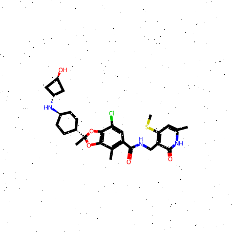 CSc1cc(C)[nH]c(=O)c1CNC(=O)c1cc(Cl)c2c(c1C)OC(C)([C@H]1CC[C@H](N[C@H]3C[C@H](O)C3)CC1)O2